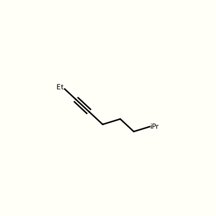 [CH2]C(C)CCCC#CCC